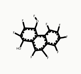 Oc1c(F)c(F)c(OF)c2c1c(F)c(F)c1c(F)c(F)c(F)c(F)c12